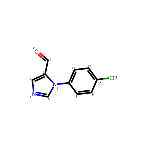 O=Cc1cncn1-c1ccc(Cl)cc1